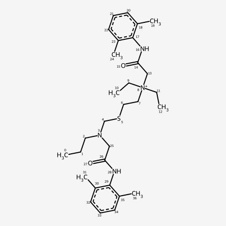 CCCN(CSCC[N+](CC)(CC)CC(=O)Nc1c(C)cccc1C)CC(=O)Nc1c(C)cccc1C